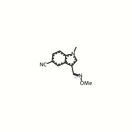 CO/N=C/c1cn(C)c2ccc(C#N)cc12